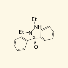 CCNN(CC)P(=O)(c1ccccc1)c1ccccc1